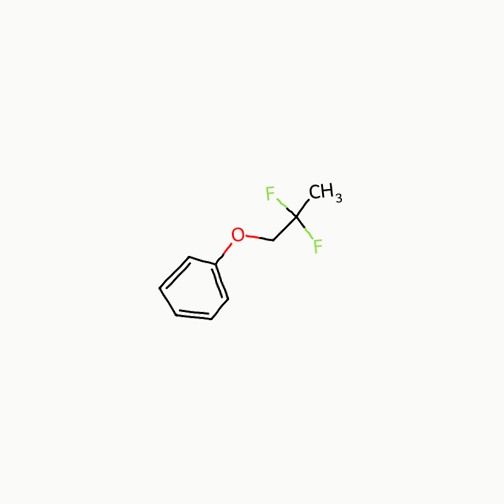 CC(F)(F)COc1ccccc1